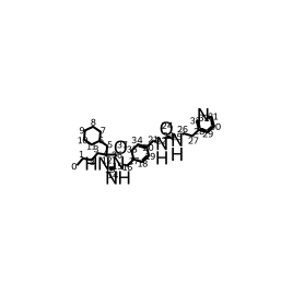 CCCCC1(CC2CCCCC2)NC(=N)N(CC2C=CC(CNC(=O)NCCc3cccnc3)=CC2)C1=O